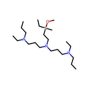 CCCN(CC)CCCN(CCCN(CC)CCC)CC[Si](C)(CC)OC